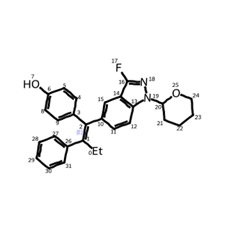 CC/C(=C(/c1ccc(O)cc1)c1ccc2c(c1)c(F)nn2C1CCCCO1)c1ccccc1